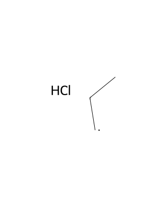 Cl.[CH2]CC